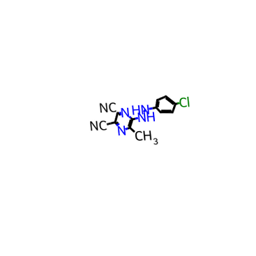 Cc1nc(C#N)c(C#N)nc1NNc1ccc(Cl)cc1